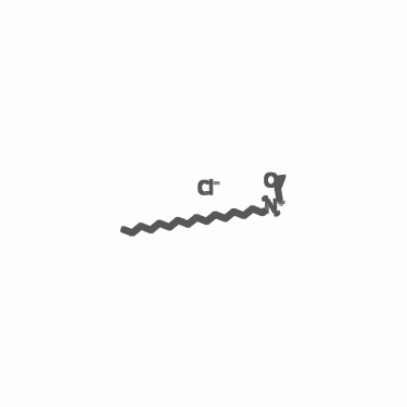 CCCCCCCCCCCCCCCC[N+](C)(C)CC1CO1.[Cl-]